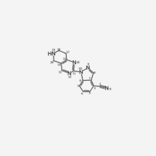 N#Cc1cccc2c1cnn2-c1ncc2c(n1)CCNC2